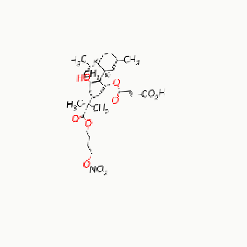 C=C(C)[C@@H]1CCC(C)=C[C@H]1c1c(O)cc(C(C)(C)C(=O)OCCCCO[N+](=O)[O-])cc1OC(=O)C=CC(=O)O